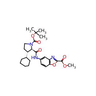 COC(=O)c1nc2cc(NC(=O)[C@H]3[C@H](C4CCCCC4)CCN3C(=O)OC(C)(C)C)ccc2o1